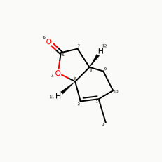 CC1=C[C@@H]2OC(=O)C[C@@H]2CC1